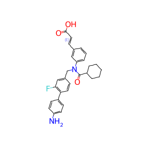 Nc1ccc(-c2ccc(CN(C(=O)C3CCCCC3)c3cccc(/C=C/C(=O)O)c3)cc2F)cc1